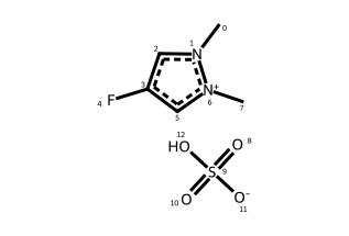 Cn1cc(F)c[n+]1C.O=S(=O)([O-])O